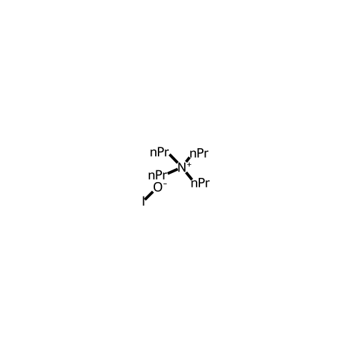 CCC[N+](CCC)(CCC)CCC.[O-]I